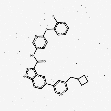 O=C(Nc1ccc(Oc2ccccc2F)nc1)c1n[nH]c2ccc(-c3cncc(CN4CCC4)c3)cc12